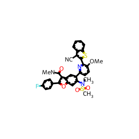 CNC(=O)c1c(-c2ccc(F)cc2)oc2cc(N(C)S(C)(=O)=O)c(-c3ccc(OC)c(-c4sc5ccccc5c4C#N)n3)cc12